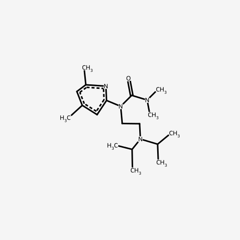 Cc1cc(C)nc(N(CCN(C(C)C)C(C)C)C(=O)N(C)C)c1